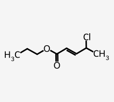 CCCOC(=O)C=CC(C)Cl